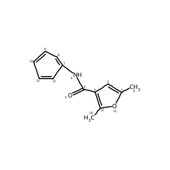 Cc1cc(C(=O)Nc2ccccc2)c(C)o1